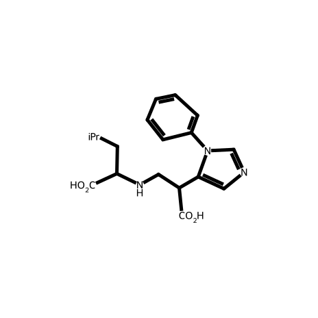 CC(C)CC(NCC(C(=O)O)c1cncn1-c1ccccc1)C(=O)O